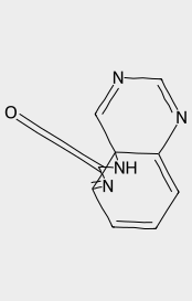 O=C1N=C2C=CC=C3N=CN=CC32N1